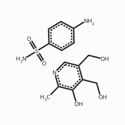 Cc1ncc(CO)c(CO)c1O.Nc1ccc(S(N)(=O)=O)cc1